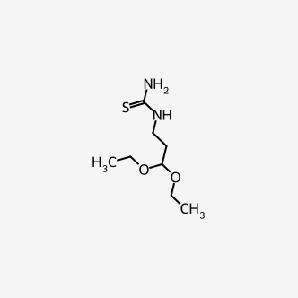 CCOC(CCNC(N)=S)OCC